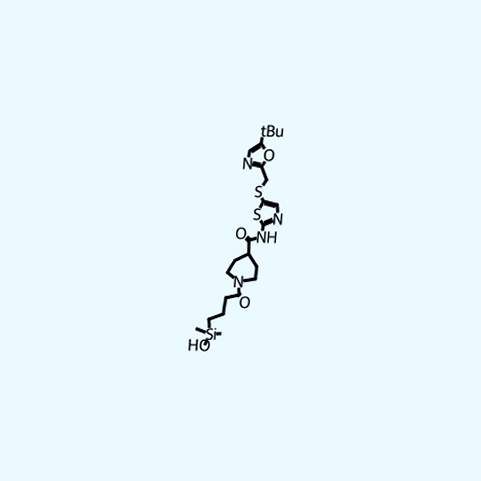 CC(C)(C)c1cnc(CSc2cnc(NC(=O)C3CCN(C(=O)CCC[Si](C)(C)O)CC3)s2)o1